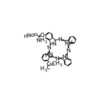 CCCCCCCCCC(N)=O.[CH3][Cu]([CH3])[c]1cccc2c3nc4nc(nc5[nH]c(nc6nc(nc([nH]3)c12)-c1ccccc1-6)c1ccccc51)-c1ccccc1-4